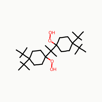 CC(C)(C)C1(C(C)(C)C)CCC(OO)(C(C)(C)C2(OO)CCC(C(C)(C)C)(C(C)(C)C)CC2)CC1